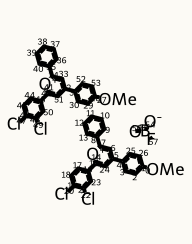 COc1ccc(-c2cc(-c3ccccc3)[o+]c(-c3ccc(Cl)c(Cl)c3)c2)cc1.COc1ccc(-c2cc(-c3ccccc3)[o+]c(-c3ccc(Cl)c(Cl)c3)c2)cc1.[O-]B([O-])F